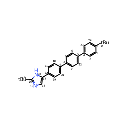 CC(C)(C)c1ccc(-c2ccc(-c3ccc(-c4cnc(C(C)(C)C)[nH]4)cc3)cc2)cc1